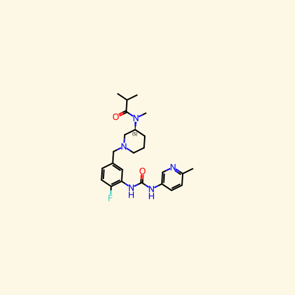 Cc1ccc(NC(=O)Nc2cc(CN3CCC[C@H](N(C)C(=O)C(C)C)C3)ccc2F)cn1